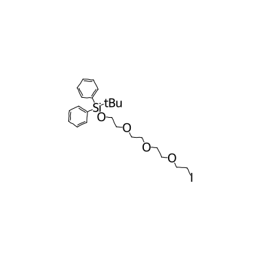 CC(C)(C)[Si](OCCOCCOCCOCCI)(c1ccccc1)c1ccccc1